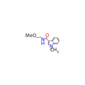 COCCNC(=O)c1cn(C)c2ccccc12